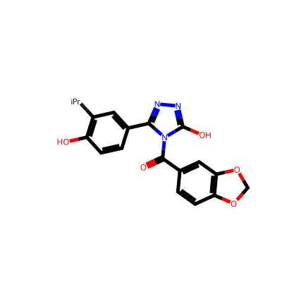 CC(C)c1cc(-c2nnc(O)n2C(=O)c2ccc3c(c2)OCO3)ccc1O